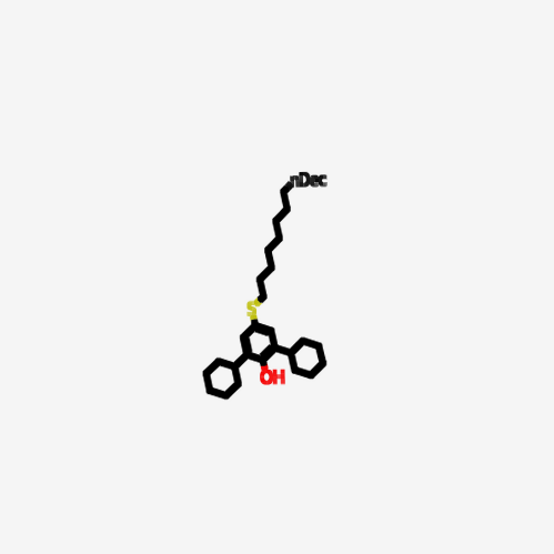 CCCCCCCCCCCCCCCCCCSc1cc(C2CCCCC2)c(O)c(C2CCCCC2)c1